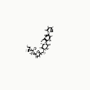 CCNC(=O)Nc1ncc(CC2CCN(c3ccc(-n4cccn4)nc3C)CC2)o1